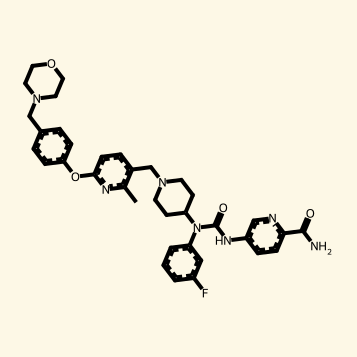 Cc1nc(Oc2ccc(CN3CCOCC3)cc2)ccc1CN1CCC(N(C(=O)Nc2ccc(C(N)=O)nc2)c2cccc(F)c2)CC1